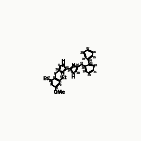 CCc1cc(OC)cc(CC)c1Cc1c[nH]c(-c2nc(Cc3ccccc3-c3ccccc3)c[nH]2)n1